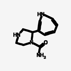 NC(=O)N1CCNCC1C1=CNC=CC=C1